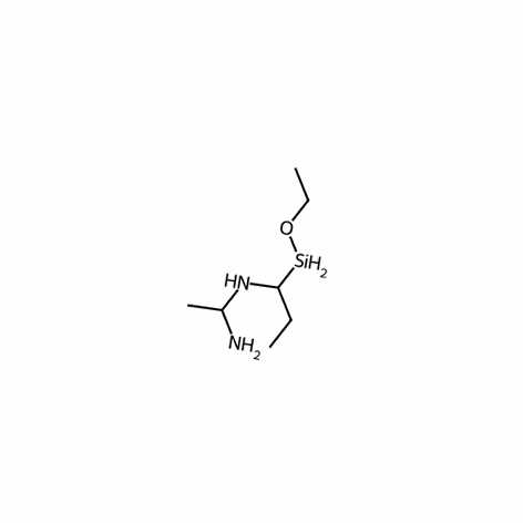 CCO[SiH2]C(CC)NC(C)N